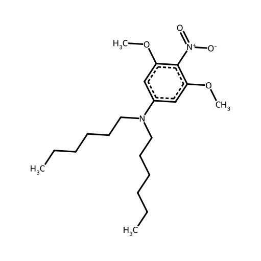 CCCCCCN(CCCCCC)c1cc(OC)c([N+](=O)[O-])c(OC)c1